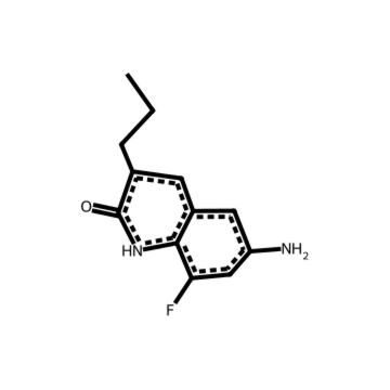 CCCc1cc2cc(N)cc(F)c2[nH]c1=O